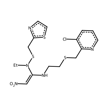 CCN(SCc1nccs1)C(=C[N+](=O)[O-])NCCSCc1ncccc1Cl